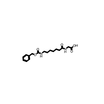 O=C(O)CNC(=O)CCCCCCNC(=O)OCc1ccccc1